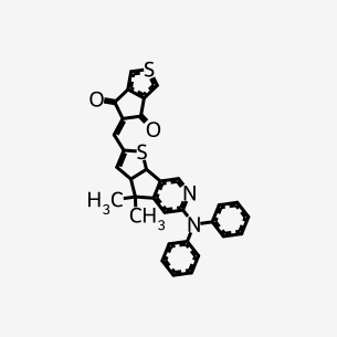 CC1(C)c2cc(N(c3ccccc3)c3ccccc3)ncc2C2SC(C=C3C(=O)c4cscc4C3=O)=CC21